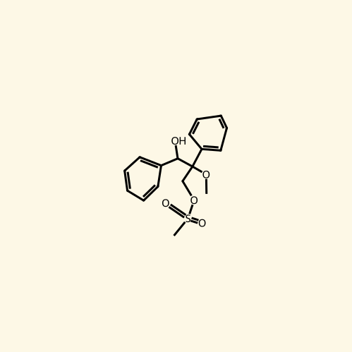 COC(COS(C)(=O)=O)(c1ccccc1)C(O)c1ccccc1